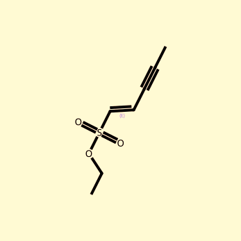 CC#C/C=C/S(=O)(=O)OCC